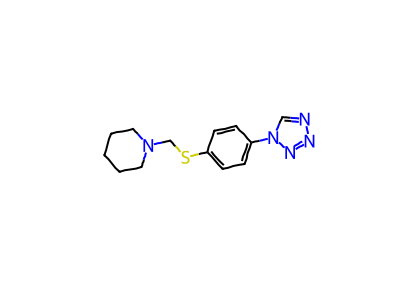 c1cc(-n2cnnn2)ccc1SCN1CCCCC1